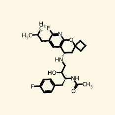 CC(=O)N[C@@H](Cc1ccc(F)cc1)[C@@H](O)CN[C@H]1CC2(CCC2)Oc2nc(F)c(CC(C)C)cc21